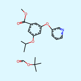 CC(C)(C)OC=O.COC(=O)c1cc(Oc2cccnc2)cc(OC(C)C)c1